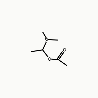 CC(=O)OC(C)[Si](C)C